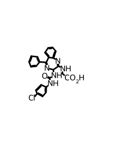 O=C(O)CNC1=Nc2ccccc2C(c2ccccc2)=NC1NC(=O)Nc1ccc(Cl)cc1